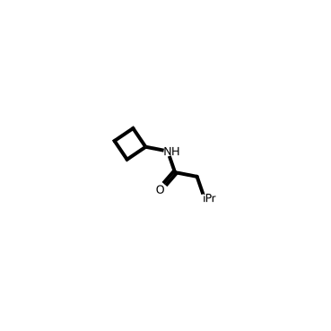 CC(C)CC(=O)NC1CCC1